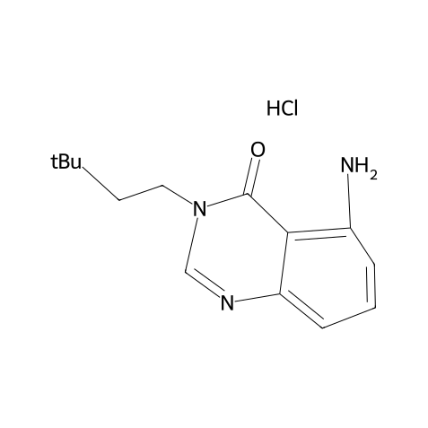 CC(C)(C)CCn1cnc2cccc(N)c2c1=O.Cl